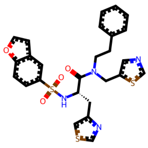 O=C([C@H](Cc1cscn1)NS(=O)(=O)c1ccc2occc2c1)N(CCc1ccccc1)Cc1cncs1